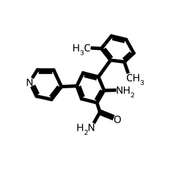 Cc1cccc(C)c1-c1cc(-c2ccncc2)cc(C(N)=O)c1N